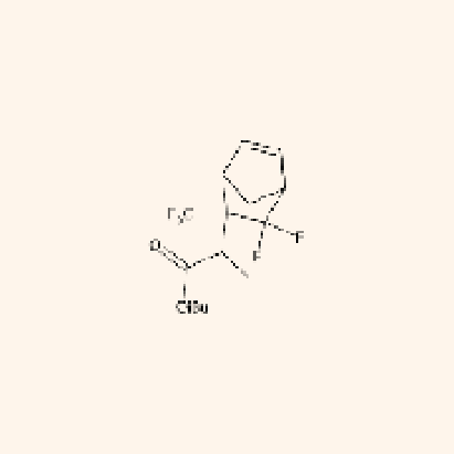 CC(C)COC(=O)C(C)C1(C(F)(F)F)C2C=CC(C2)C1(F)F